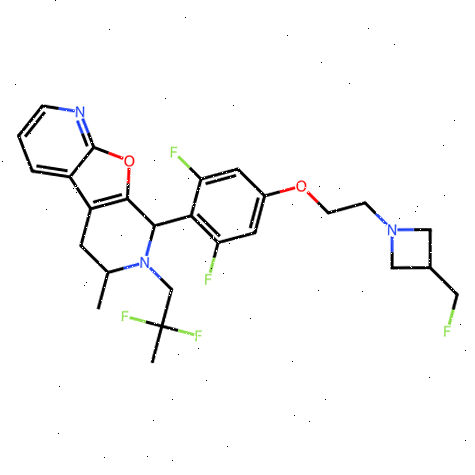 CC1Cc2c(oc3ncccc23)C(c2c(F)cc(OCCN3CC(CF)C3)cc2F)N1CC(C)(F)F